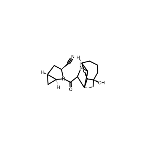 N#C[C@@H]1C[C@@H]2C[C@@H]2N1C(=O)C1N[C@H]2[C@@H]3CCC[C@]4(O)C[C@@]12C4C3